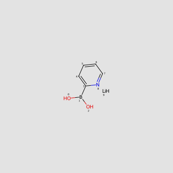 OB(O)c1ccccn1.[LiH]